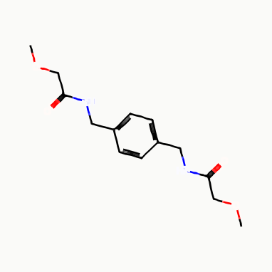 COCC(=O)NCc1ccc(CNC(=O)COC)cc1